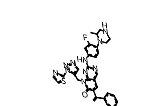 C=C(c1ccccc1)c1cc2cnc(Nc3ccc(N4CCNCC4C)c(F)c3)nc2n(Cc2cnnn2-c2nccs2)c1=O